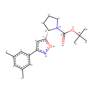 Cc1cc(C)cc(-c2cc([C@@H]3CCCN3C(=O)OC(C)(C)C)on2)c1